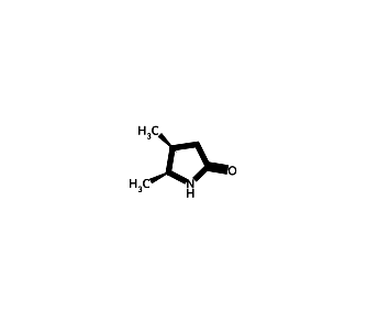 C[C@@H]1NC(=O)C[C@@H]1C